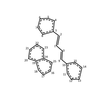 C(/C=C/c1ccccc1)=C\c1ccccc1.c1ccc2ccccc2c1